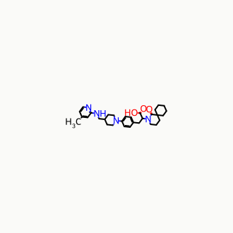 Cc1ccnc(NCC2CCN(c3ccc(CC(C(=O)O)N4CCCC5(CCCCC5)C4=O)cc3)CC2)c1